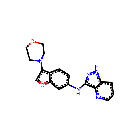 c1cnc2c(Nc3ccc4c(N5CCOCC5)coc4c3)n[nH]c2c1